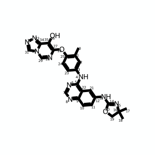 Cc1cc(Nc2ncnc3ccc(NC4=NC(C)(C)CO4)cc23)ccc1Oc1ncn2cnnc2c1O